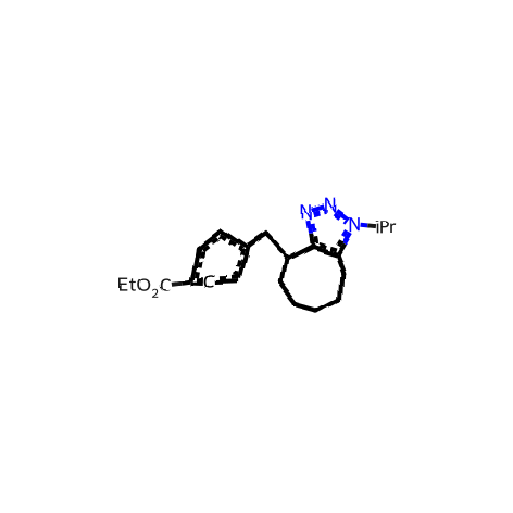 CCOC(=O)c1ccc(CC2CCCCCc3c2nnn3C(C)C)cc1